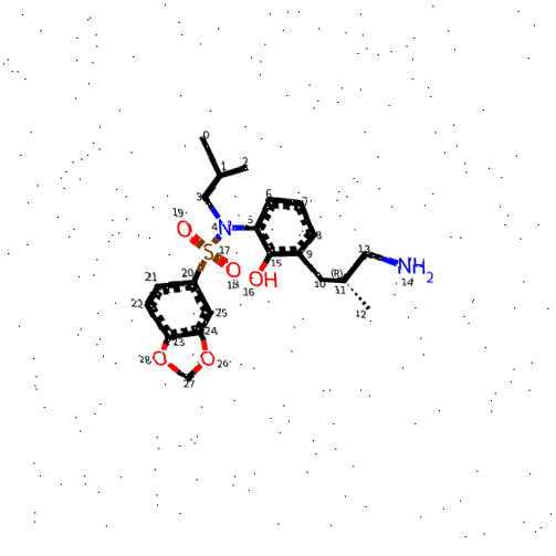 CC(C)CN(c1cccc(C[C@@H](C)CN)c1O)S(=O)(=O)c1ccc2c(c1)OCO2